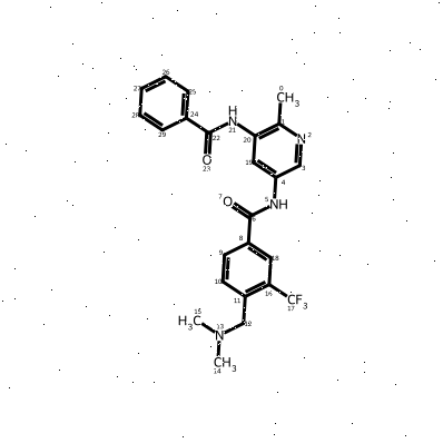 Cc1ncc(NC(=O)c2ccc(CN(C)C)c(C(F)(F)F)c2)cc1NC(=O)c1ccccc1